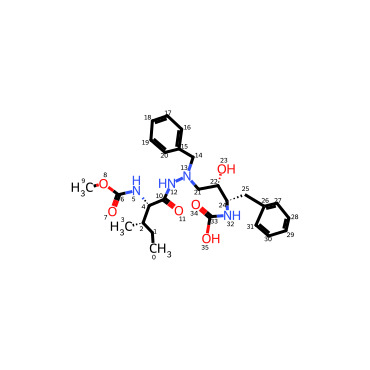 CC[C@H](C)[C@H](NC(=O)OC)C(=O)NN(Cc1ccccc1)C[C@H](O)[C@H](Cc1ccccc1)NC(=O)O